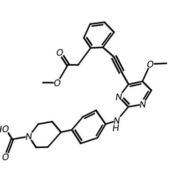 COC(=O)Cc1ccccc1C#Cc1nc(Nc2ccc(C3CCN(C(=O)O)CC3)cc2)ncc1OC